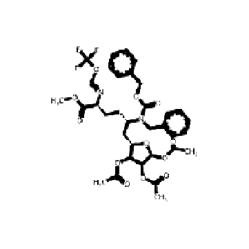 COC(=O)[C@H](CC[C@@H](C[C@H]1OC(OC(C)=O)[C@@H](OC(C)=O)C1OC(C)=O)N(Cc1ccccc1)C(=O)OCc1ccccc1)N=COC(F)(F)F